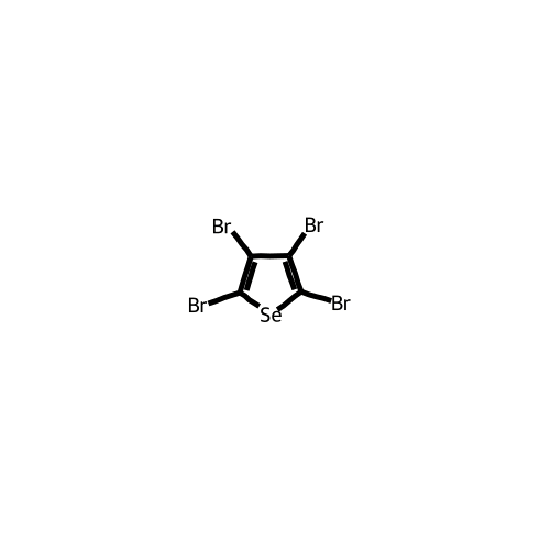 Brc1[se]c(Br)c(Br)c1Br